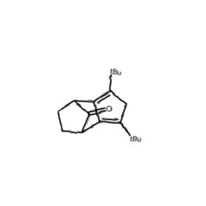 CC(C)(C)C1=C2C(=C(C(C)(C)C)C1)C1CCC2C1=O